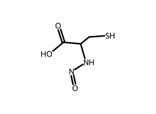 O=NNC(CS)C(=O)O